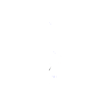 CC1=CCC(=S)C(C(=O)NC[C@H]2CN(c3ccc(N4CCSCC4)c(F)c3)C(=O)O2)=C1